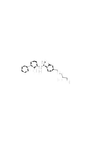 OCC(O)CN=Cc1ccc2c(Nc3cccc(-c4ccccc4)c3Cl)nsc2c1